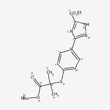 CCOC(=O)c1nc(-c2ccc(SC(C)(C)C(=O)OC(C)(C)C)cc2)n[nH]1